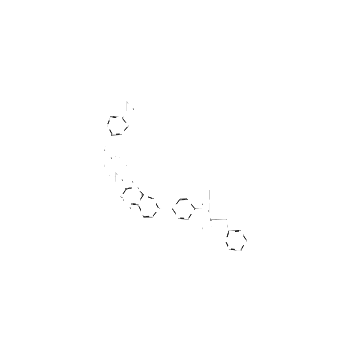 Nc1ccc(CN2CCN(c3cnc4ccc(-c5ccc(NC(=O)Cc6ccccc6)cc5)cc4n3)CC2)cc1